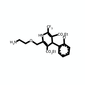 CCOC(=O)C1=C(COCCN)NC(C(F)(F)F)=C(C(=O)OCC)C1c1ccccc1Cl